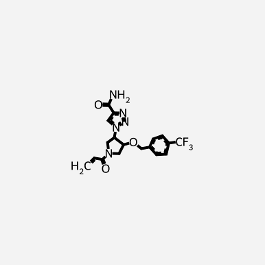 C=CC(=O)N1CC(OCc2ccc(C(F)(F)F)cc2)C(n2cc(C(N)=O)nn2)C1